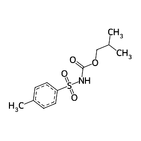 Cc1ccc(S(=O)(=O)NC(=O)OCC(C)C)cc1